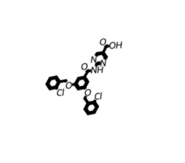 O=C(O)c1cnc(NC(=O)c2cc(OCc3ccccc3Cl)cc(OCc3ccccc3Cl)c2)nc1